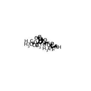 CC(C)(C)OC(=O)C1C2CC3C(OC(=O)C31)C2OC(=O)COC(=O)C(C)(I)C1CN1